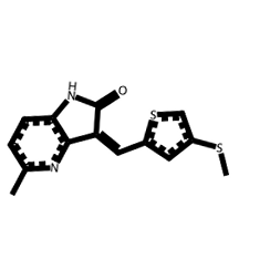 CSc1csc(C=C2C(=O)Nc3ccc(C)nc32)c1